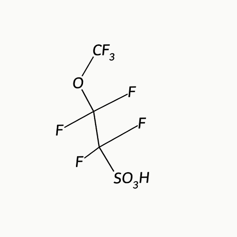 O=S(=O)(O)C(F)(F)C(F)(F)OC(F)(F)F